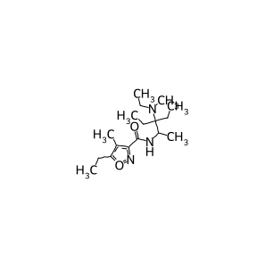 CCc1onc(C(=O)NC(C)C(CC)(CC)N(C)CC)c1C